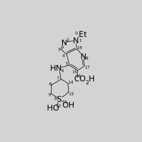 CCn1ncc2c(NC3CCS(O)(O)CC3)c(C(=O)O)cnc21